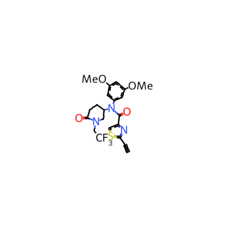 C#Cc1nc(C(=O)N(c2cc(OC)cc(OC)c2)[C@@H]2CCC(=O)N(CC(F)(F)F)C2)cs1